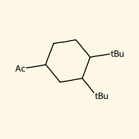 CC(=O)C1CCC(C(C)(C)C)C(C(C)(C)C)C1